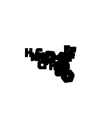 CNc1ccc(-c2cc(C(F)(F)F)nn2NS(=O)(=O)c2ccccc2)cc1Cl